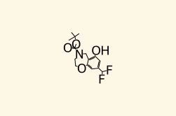 CC(C)(C)OC(=O)N1CCOc2cc(C(F)F)cc(O)c2C1